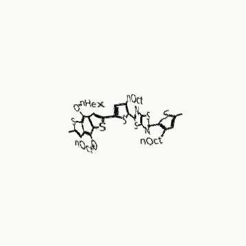 CCCCCCCCOc1c2cc(C)sc2c(OCCCCCC)c2cc(-c3cc(CCCCCCCC)c(-c4nc5sc(-c6sc(C)cc6CCCCCCCC)nc5s4)s3)sc12